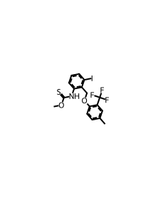 COC(=S)Nc1cccc(I)c1COc1ccc(C)cc1C(F)(F)F